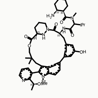 CCn1c(-c2cccnc2[C@H](C)OC)c2c3cc(ccc31)-c1cc(O)cc(c1)C[C@H](NC(=O)C(C(C)C)N(C)C(=O)[C@@H]1CCCC[C@@H]1N)C(=O)N1CCC[C@H](N1)C(=O)OCC(C)(C)C2